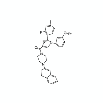 CCOc1cccc(-n2cc(C(=O)N3CCN(c4ccc5ccccc5c4)CC3)nc2-c2ccc(C)cc2F)c1